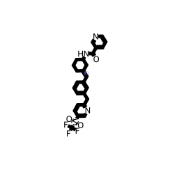 O=C(NC1CCC/C(=C\c2cccc(Cc3ccc(S(=O)(=O)C(F)(F)F)cn3)c2)C1)c1cccnc1